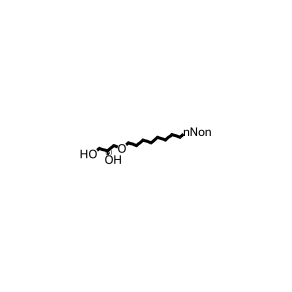 CCCCCCCCCCCCCCCCCOC[C@@H](O)CO